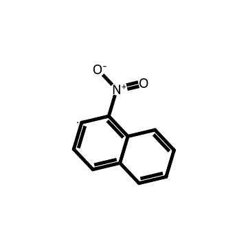 O=[N+]([O-])c1[c]ccc2ccccc12